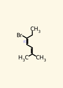 CC/C(Br)=C\C=C(C)C